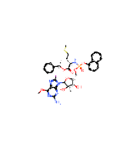 COc1nc(N)nc2c1nc(I)n2C1O[C@H](COP(=O)(N[C@@H](CCSC)C(=O)O[C@@H](C)c2ccccc2)Oc2cccc3ccccc23)[C@@H](O)[C@@]1(C)O